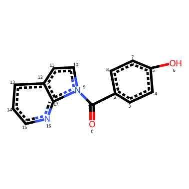 O=C(c1ccc(O)cc1)n1ccc2cccnc21